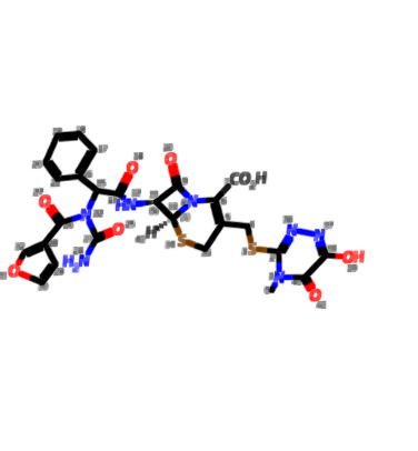 Cn1c(SCC2=C(C(=O)O)N3C(=O)[C@H](NC(=O)C(c4ccccc4)N(C(N)=O)C(=O)c4ccoc4)[C@@H]3SC2)nnc(O)c1=O